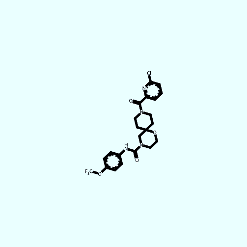 O=C(Nc1ccc(OC(F)(F)F)cc1)N1CCOC2(CCN(C(=O)c3cccc(Cl)n3)CC2)C1